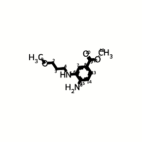 COCCCNc1cc(C(=O)OC)ccc1N